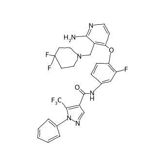 Nc1nccc(Oc2ccc(NC(=O)c3cnn(-c4ccccc4)c3C(F)(F)F)cc2F)c1CN1CCC(F)(F)CC1